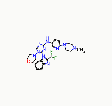 CN1CCN(c2ccc(NC3N=CN(N4CCOCC4)C(n4c(C(F)F)nc5ccccc54)=N3)cn2)CC1